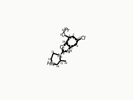 CC(C)Oc1cc(Cl)cc2nc(N3CCNCC3C)oc12